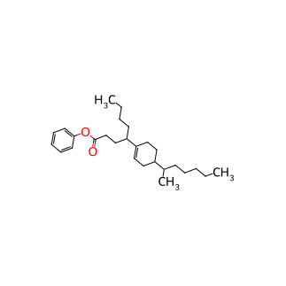 CCCCCC(C)C1CC=C(C(CCCC)CCC(=O)Oc2ccccc2)CC1